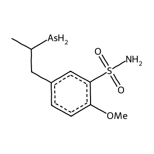 COc1ccc(CC(C)[AsH2])cc1S(N)(=O)=O